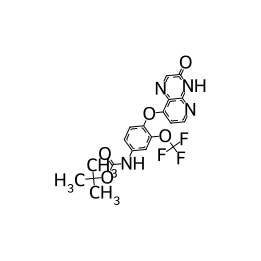 CC(C)(C)OC(=O)Nc1ccc(Oc2ccnc3[nH]c(=O)cnc23)c(OC(F)(F)F)c1